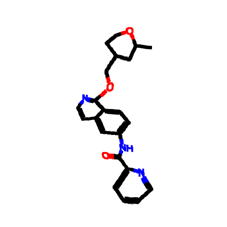 CC1CC(COc2nccc3cc(NC(=O)c4ccccn4)ccc23)CCO1